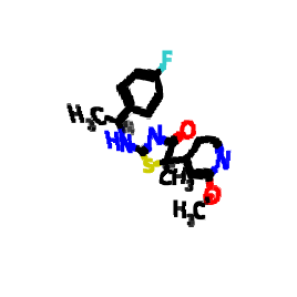 COC1=CC([C@]2(C)SC(N[C@@H](C)c3ccc(F)cc3)=NC2=O)CC=N1